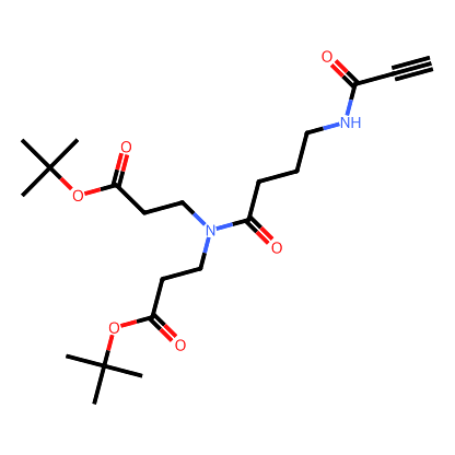 C#CC(=O)NCCCC(=O)N(CCC(=O)OC(C)(C)C)CCC(=O)OC(C)(C)C